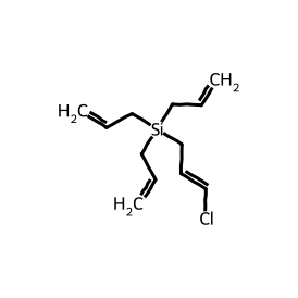 C=CC[Si](CC=C)(CC=C)CC=CCl